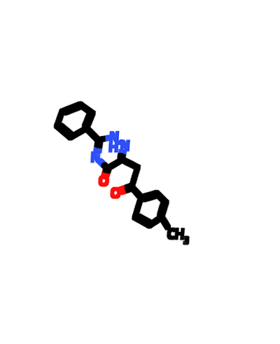 Cc1ccc(C(=O)Cc2n[nH]c(-c3ccccc3)nc2=O)cc1